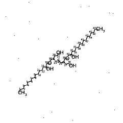 CCCCCCCCCCCCCCC(O)COCC(CCO)CSCC(CCO)COCC(O)CCCCCCCCCCCCCC